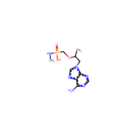 CNP(=O)(O)COC(C)Cn1cnc2c(N)ncnc21